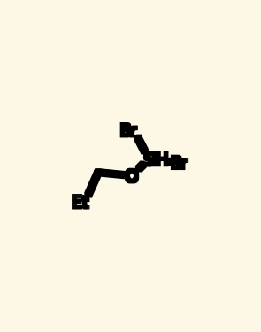 CCCO[SiH](Br)Br